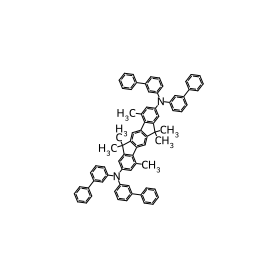 Cc1cc(N(c2cccc(-c3ccccc3)c2)c2cccc(-c3ccccc3)c2)cc2c1-c1cc3c(cc1C2(C)C)-c1c(C)cc(N(c2cccc(-c4ccccc4)c2)c2cccc(-c4ccccc4)c2)cc1C3(C)C